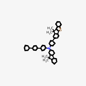 CC1(C)c2ccccc2-c2ccc(N(c3ccc(-c4ccc(-c5ccccc5)cc4)cc3)c3ccc(-c4ccc5c(c4)C(C)(C)c4c-5sc5ccccc45)cc3)cc21